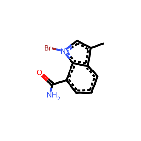 Cc1cn(Br)c2c(C(N)=O)cccc12